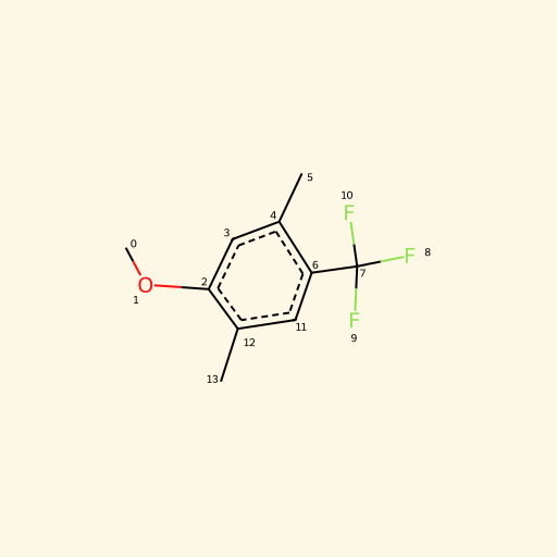 COc1cc(C)c(C(F)(F)F)cc1C